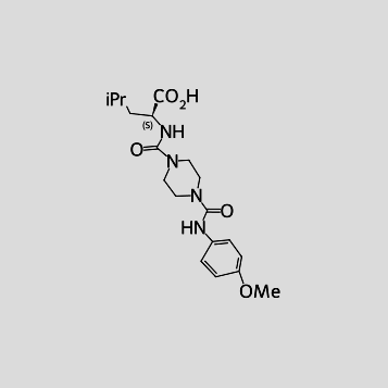 COc1ccc(NC(=O)N2CCN(C(=O)N[C@@H](CC(C)C)C(=O)O)CC2)cc1